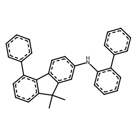 CC1(C)c2cc(Nc3ccccc3-c3ccccc3)ccc2-c2c(-c3ccccc3)cccc21